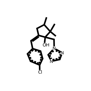 CC1CC(=Cc2ccc(Cl)cc2)C(O)(Cn2cncn2)C1(C)C